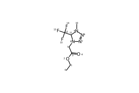 CCOC(=O)CN1N=NN(C)C1C(F)(F)F